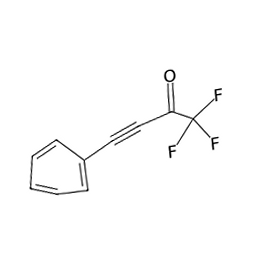 O=C(C#Cc1ccccc1)C(F)(F)F